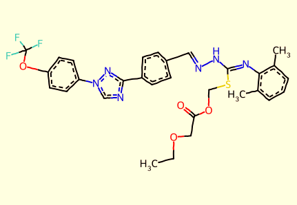 CCOCC(=O)OCS/C(=N\c1c(C)cccc1C)N/N=C/c1ccc(-c2ncn(-c3ccc(OC(F)(F)F)cc3)n2)cc1